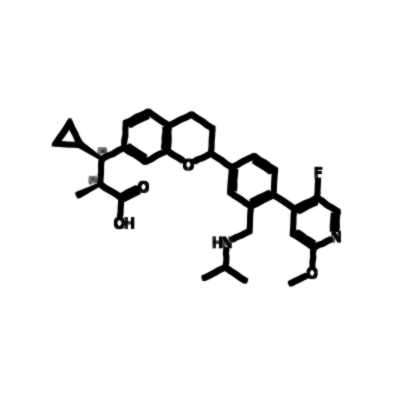 COc1cc(-c2ccc(C3CCc4ccc([C@H](C5CC5)[C@H](C)C(=O)O)cc4O3)cc2CNC(C)C)c(F)cn1